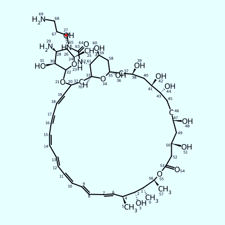 C[C@@H]1[C@H](O)[C@@H](C)/C=C/C=C/C=C/C=C/C=C/C=C/C=C/C(OC2O[C@H](C)[C@@H](O)[C@H](N)[C@@H]2O)C[C@@H]2O[C@](O)(C[C@@H](O)C[C@@H](O)[C@H](O)CC[C@@H](O)C[C@@H](O)CC(=O)O[C@H]1C)C[C@H](O)[C@H]2NC(=O)NCCCN